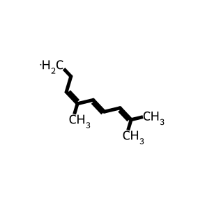 [CH2]CC=C(C)C=CC=C(C)C